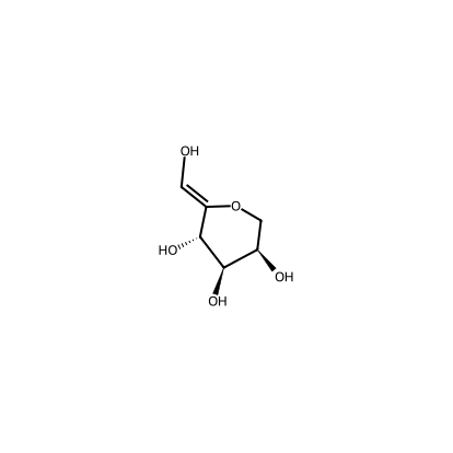 OC=C1OC[C@@H](O)[C@@H](O)[C@@H]1O